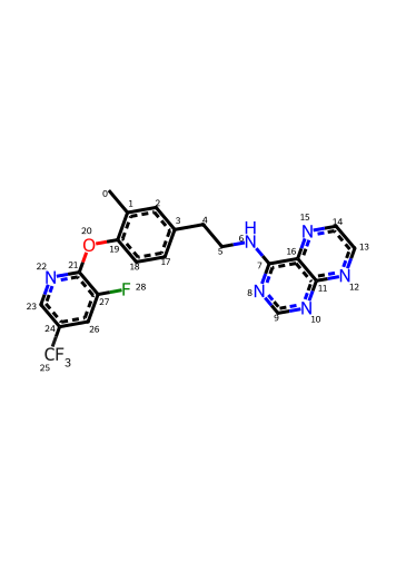 Cc1cc(CCNc2ncnc3nccnc23)ccc1Oc1ncc(C(F)(F)F)cc1F